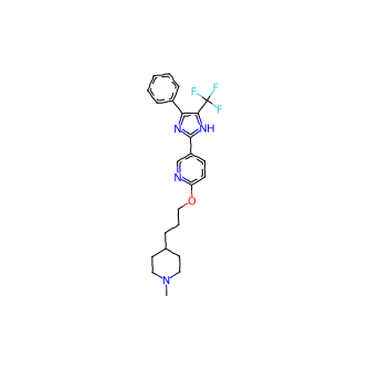 CN1CCC(CCCOc2ccc(-c3nc(-c4ccccc4)c(C(F)(F)F)[nH]3)cn2)CC1